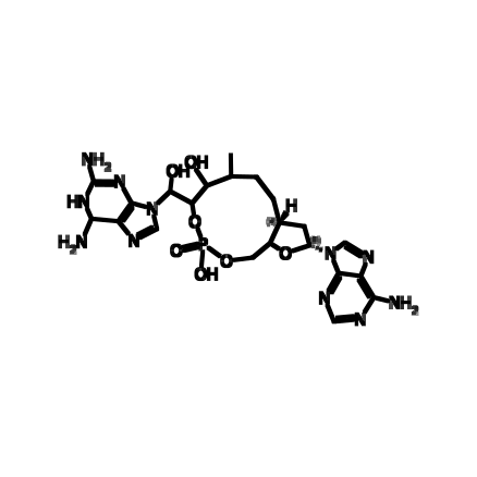 CC1CC[C@@H]2C[C@H](n3cnc4c(N)ncnc43)OC2COP(=O)(O)OC(C(O)n2cnc3c2N=C(N)NC3N)C1O